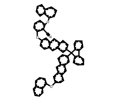 N#Cc1c(Oc2ccc3cc4cc(C5(c6ccc7cc8cc(Oc9cccc%10ccccc9%10)ccc8cc7c6)c6ccccc6-c6ccccc65)ccc4cc3c2)cccc1Oc1cccc2ccccc12